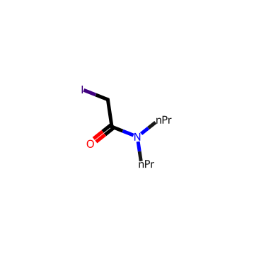 CCCN(CCC)C(=O)CI